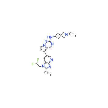 Cc1nc2ncc(-c3ccn4nc(NC5CC6(C5)CN(C)C6)ncc34)cc2n1CC(F)F